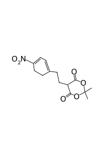 CC1(C)OC(=O)C(CCC2=CC=C([N+](=O)[O-])CC2)C(=O)O1